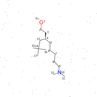 COCC[C@@H](CCCCCN(C)C)CC(C)(C)C